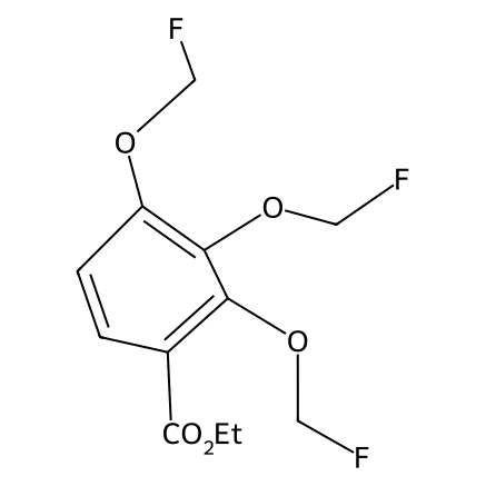 CCOC(=O)c1ccc(OCF)c(OCF)c1OCF